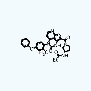 CCC(=O)N[C@H]1CCN(C(=O)c2sc3nccc4c3c2NC(=O)N4c2ccc(Oc3ccccc3)cc2C)C1